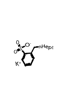 CCCCCCCCc1ccccc1S(=O)(=O)[O-].[K+]